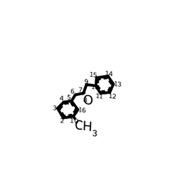 Cc1cccc(CC(=O)Cc2ccccc2)c1